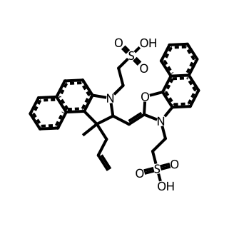 C=CCC1(C)c2c(ccc3ccccc23)N(CCS(=O)(=O)O)C1/C=C1\Oc2c(ccc3ccccc23)N1CCS(=O)(=O)O